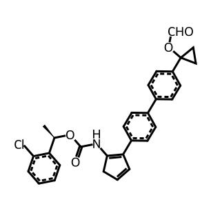 C[C@@H](OC(=O)NC1=C(c2ccc(-c3ccc(C4(OC=O)CC4)cc3)cc2)C=CC1)c1ccccc1Cl